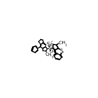 CC1Cc2c(cc3c(c2-c2ccccc2)CCC3)C1S(C)(C)C1=C2c3ccccc3SC2C(C)C1C